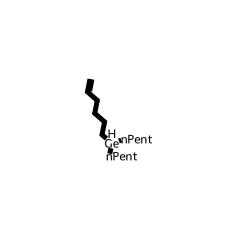 C=CCCC[CH2][GeH]([CH2]CCCC)[CH2]CCCC